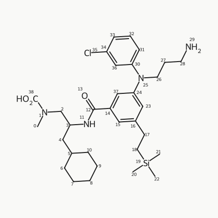 CN(CC(CC1CCCCC1)NC(=O)c1cc(CC[Si](C)(C)C)cc(N(CCCN)c2cccc(Cl)c2)c1)C(=O)O